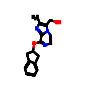 Cc1nc2c(OC3Cc4ccccc4C3)nccn2c1CO